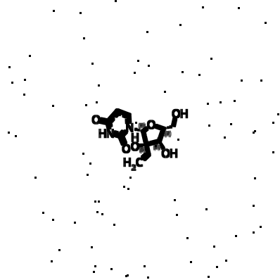 C=C[C@@]1(O)[C@H](O)[C@@H](CO)O[C@H]1n1ccc(=O)[nH]c1=O